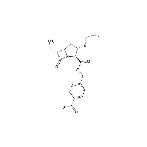 CCS[C@H]1CC2[C@@H](CC)C(=O)N2[C@@H]1C(=O)OCc1ccc([N+](=O)[O-])cc1